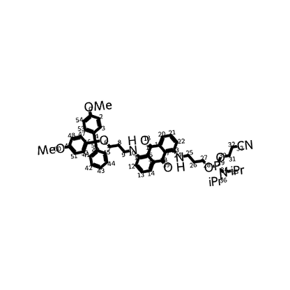 COc1ccc(C(OCCCNc2cccc3c2C(=O)c2cccc(NCCCOP(OCCC#N)N(C(C)C)C(C)C)c2C3=O)(c2ccccc2)c2ccc(OC)cc2)cc1